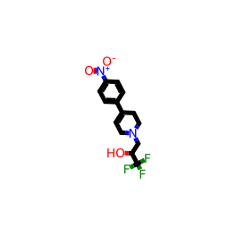 O=[N+]([O-])c1ccc(C2=CCN(CC(O)C(F)(F)F)CC2)cc1